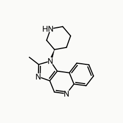 Cc1nc2cnc3ccccc3c2n1[C@@H]1CCCNC1